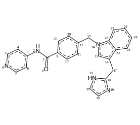 O=C(Nc1ccncc1)c1ccc(Cn2cc(Cc3ncc[nH]3)c3ccccc32)cc1